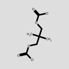 CC(C)(COC(=O)Cl)COC(=O)Cl